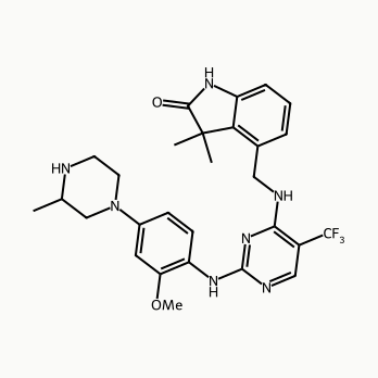 COc1cc(N2CCNC(C)C2)ccc1Nc1ncc(C(F)(F)F)c(NCc2cccc3c2C(C)(C)C(=O)N3)n1